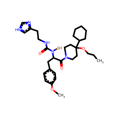 CCCOC1(C2CCCCC2)CCN(C(=O)C(Cc2ccc(OC)cc2)N(S)C(=O)NCCc2c[nH]cn2)CC1